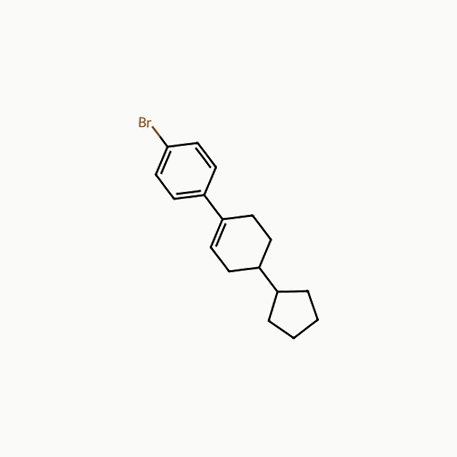 Brc1ccc(C2=CCC(C3CCCC3)CC2)cc1